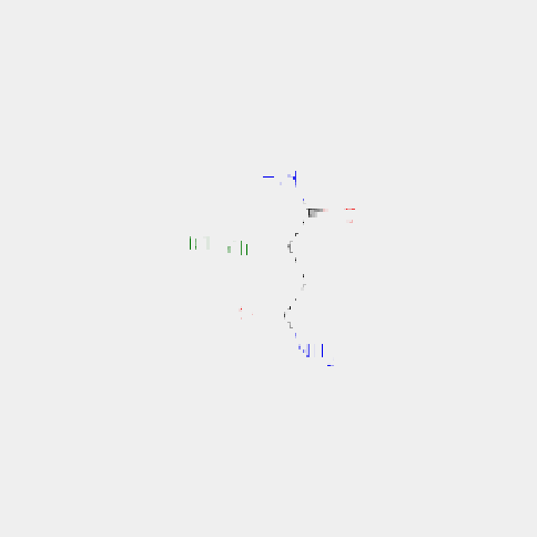 Cl.Cl.NC(=O)CCC(N)=O